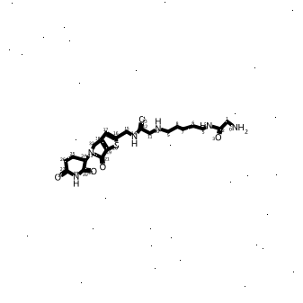 NCC(=O)NCCCCCNCC(=O)NCc1cc2c(s1)C(=O)N(C1CCC(=O)NC1=O)C2